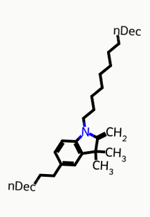 C=C1N(CCCCCCCCCCCCCCCCCC)c2ccc(CCCCCCCCCCCC)cc2C1(C)C